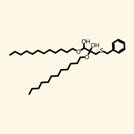 CCCCCCCCCCCCOC(O)C(O)(CSCc1ccccc1)OCCCCCCCCCCCC